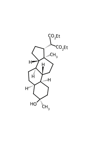 CCOC(=O)C(C(=O)OCC)[C@H]1CC[C@H]2[C@@H]3CC[C@@H]4C[C@](C)(O)CC[C@@H]4[C@H]3CC[C@]12C